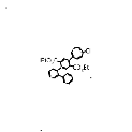 CCOC(=O)c1cc(-c2ccccc2-c2ccccc2)c(C(=O)OCC)cc1C1=CCC=C(Cl)C=C1